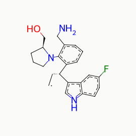 [CH2]C[C@H](c1cccc(CN)c1N1CCC[C@H]1CO)c1c[nH]c2ccc(F)cc12